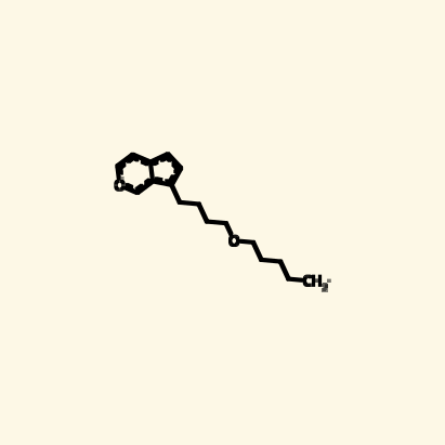 [CH2]CCCCOCCCCc1ccc2ccocc1-2